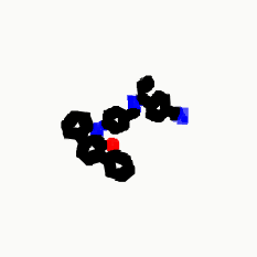 C=C[C@H](/N=C/c1ccc(-n2c3ccccc3c3ccc4c5ccccc5oc4c32)cc1)c1ccc(C#N)cc1